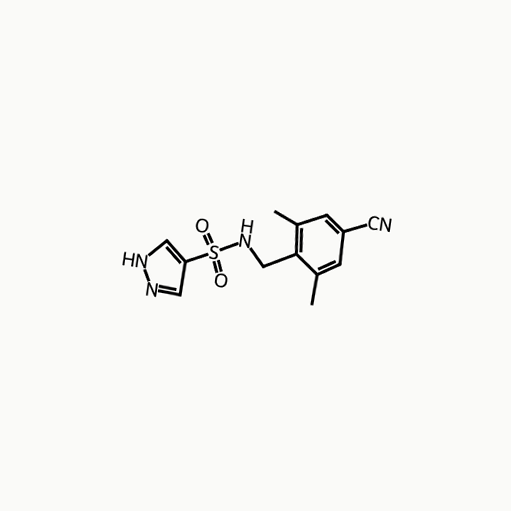 Cc1cc(C#N)cc(C)c1CNS(=O)(=O)c1cn[nH]c1